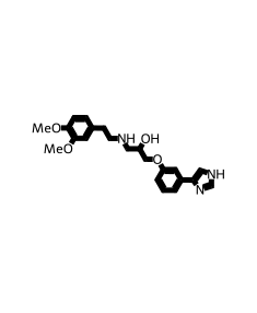 COc1ccc(CCNCC(O)COc2cccc(-c3c[nH]cn3)c2)cc1OC